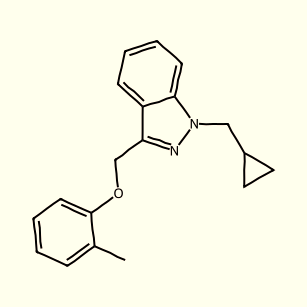 Cc1ccccc1OCc1nn(CC2CC2)c2ccccc12